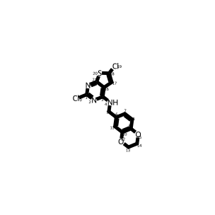 Clc1nc(NCc2ccc3c(c2)OCCO3)c2cc(Cl)sc2n1